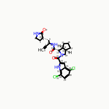 C#CC(C[C@@H]1CCNC1=O)NC(=O)[C@@H]1[C@H]2CCC[C@H]2CN1C(=O)c1cc2c(Cl)ccc(Cl)c2[nH]1